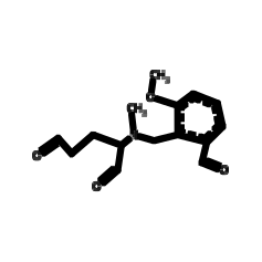 COc1cccc(C=O)c1CN(C)C(C=O)CCC=O